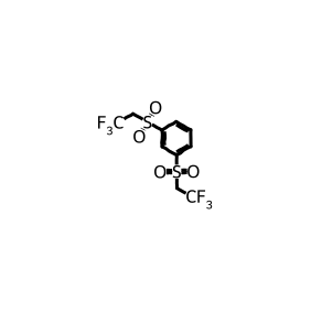 O=S(=O)(CC(F)(F)F)c1cccc(S(=O)(=O)CC(F)(F)F)c1